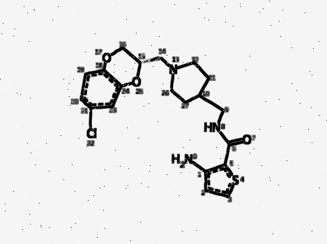 Nc1ccsc1C(=O)NCC1CCN(C[C@H]2COc3ccc(Cl)cc3O2)CC1